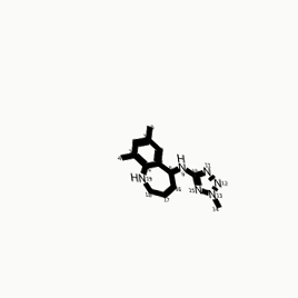 Cc1cc(C)c2c(c1)C(Nc1nnn(C)n1)CCCN2